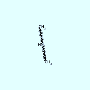 CCCOCCCOCCCNCCCOCCCOCCC